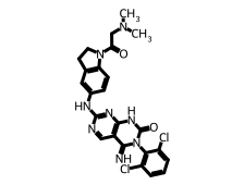 CN(C)CC(=O)N1CCc2cc(Nc3ncc4c(=N)n(-c5c(Cl)cccc5Cl)c(=O)[nH]c4n3)ccc21